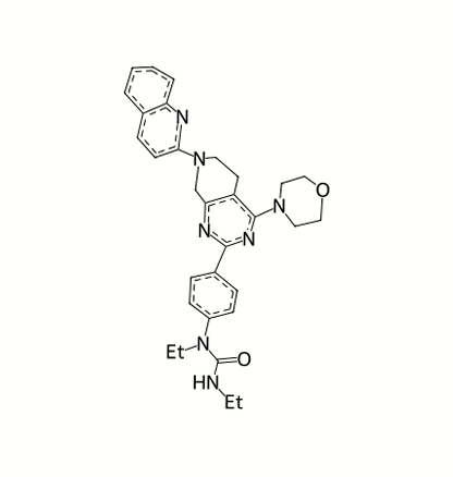 CCNC(=O)N(CC)c1ccc(-c2nc3c(c(N4CCOCC4)n2)CCN(c2ccc4ccccc4n2)C3)cc1